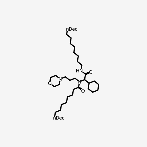 CCCCCCCCCCCCCCCCCCNC(=O)C(C1CCCCC1)N(CCCN1CCOCC1)C(=O)CCCCCCCCCCCCCCCCC